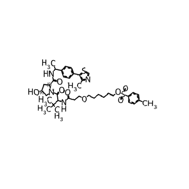 Cc1ccc(S(=O)(=O)OCCCCCCOCCC(=O)NC(C(=O)N2C[C@H](O)C[C@H]2C(=O)NC(C)c2ccc(-c3scnc3C)cc2)C(C)(C)C)cc1